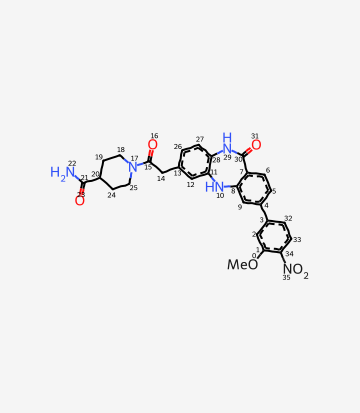 COc1cc(-c2ccc3c(c2)Nc2cc(CC(=O)N4CCC(C(N)=O)CC4)ccc2NC3=O)ccc1[N+](=O)[O-]